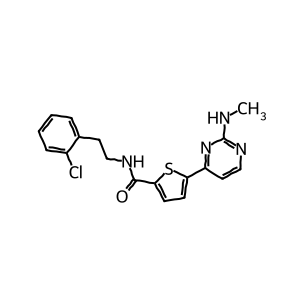 CNc1nccc(-c2ccc(C(=O)NCCc3ccccc3Cl)s2)n1